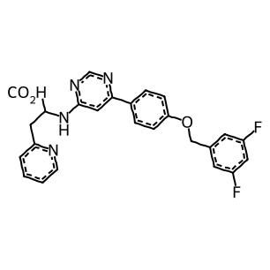 O=C(O)C(Cc1ccccn1)Nc1cc(-c2ccc(OCc3cc(F)cc(F)c3)cc2)ncn1